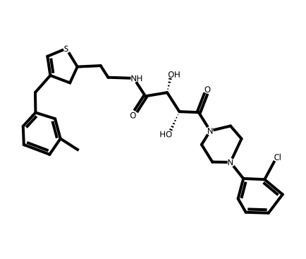 Cc1cccc(CC2=CSC(CCNC(=O)[C@H](O)[C@@H](O)C(=O)N3CCN(c4ccccc4Cl)CC3)C2)c1